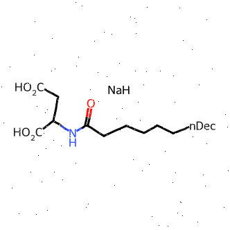 CCCCCCCCCCCCCCCC(=O)NC(CC(=O)O)C(=O)O.[NaH]